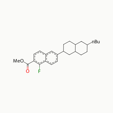 CCCCC1CCC2CC(c3ccc4c(F)c(C(=O)OC)ccc4c3)CCC2C1